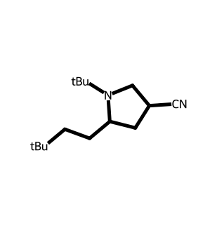 CC(C)(C)CCC1CC(C#N)CN1C(C)(C)C